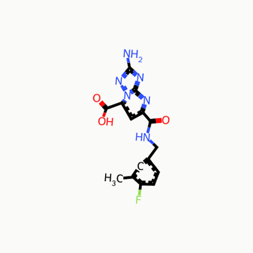 Cc1cc(CNC(=O)c2cc(C(=O)O)n3nc(N)nc3n2)ccc1F